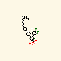 CCCCCC[C@H]1CC[C@H](C2CCC(c3ccc(C(=O)O)c(F)c3-c3cc(F)c(F)c(F)c3)CC2)CC1